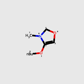 CCCCOC1=COCN1C